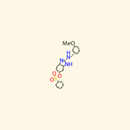 COc1cccc(CNc2nc3ccc(OS(=O)(=O)c4ccccc4)cc3[nH]2)c1